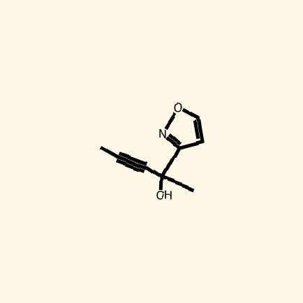 CC#CC(C)(O)c1ccon1